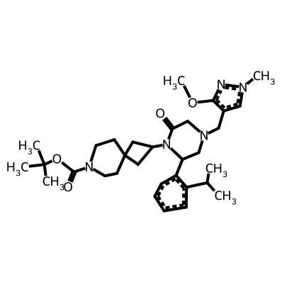 COc1nn(C)cc1CN1CC(=O)N(C2CC3(CCN(C(=O)OC(C)(C)C)CC3)C2)C(c2ccccc2C(C)C)C1